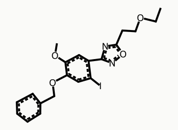 CCOCCc1nc(-c2cc(OC)c(OCc3ccccc3)cc2I)no1